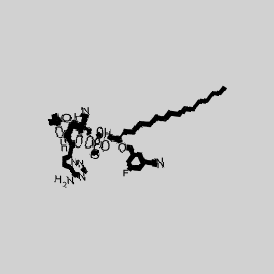 CCCCCCCCCCCCCCC[C@H](COP(=O)(O)OC[C@@]1(C#N)OC(c2ccc3c(N)ncnn23)[C@@H]2OC(C)(C)O[C@@H]21)OCc1cc(F)cc(C#N)c1